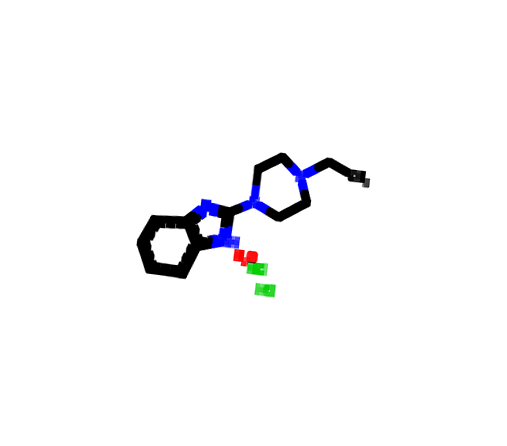 CCN1CCN(c2nc3ccccc3[nH]2)CC1.Cl.Cl.O